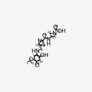 CC(C)(C)c1cc(NCc2cnc(C(=O)NC3CN(C(=O)O)C3)s2)c(O)cc1Cl